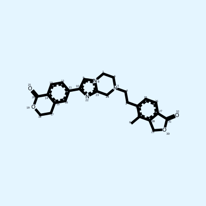 Cc1c(CCN2CCn3cc(-c4ccc5c(c4)CCOC5=O)nc3C2)ccc2c1COC2=O